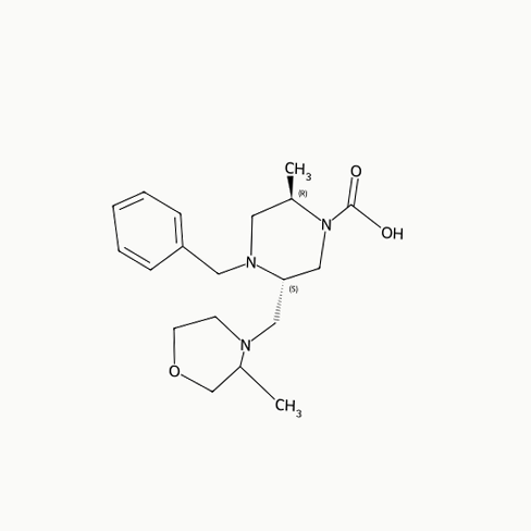 CC1COCCN1C[C@H]1CN(C(=O)O)[C@H](C)CN1Cc1ccccc1